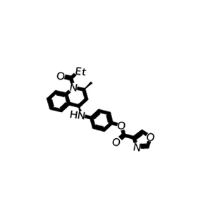 CCC(=O)N1c2ccccc2[C@H](Nc2ccc(OC(=O)c3cocn3)cc2)C[C@@H]1C